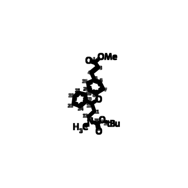 COC(=O)C=Cc1ccc(OC(CCN(C)C(=O)OC(C)(C)C)c2ccccc2)cc1